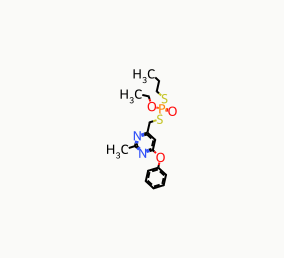 CCCSP(=O)(OCC)SCc1cc(Oc2ccccc2)nc(C)n1